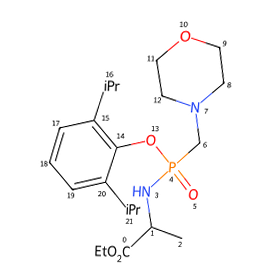 CCOC(=O)C(C)NP(=O)(CN1CCOCC1)Oc1c(C(C)C)cccc1C(C)C